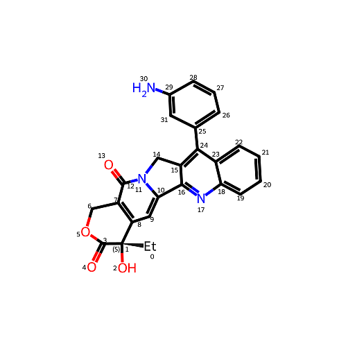 CC[C@@]1(O)C(=O)OCc2c1cc1n(c2=O)Cc2c-1nc1ccccc1c2-c1cccc(N)c1